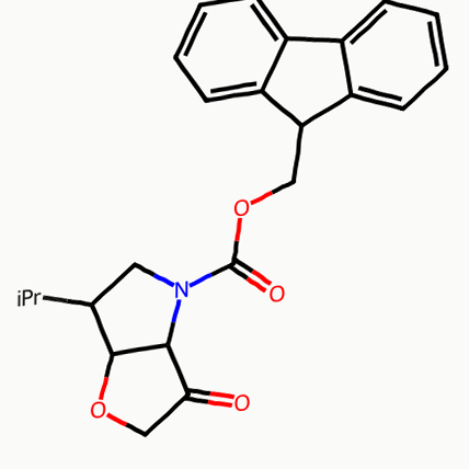 CC(C)C1CN(C(=O)OCC2c3ccccc3-c3ccccc32)C2C(=O)COC12